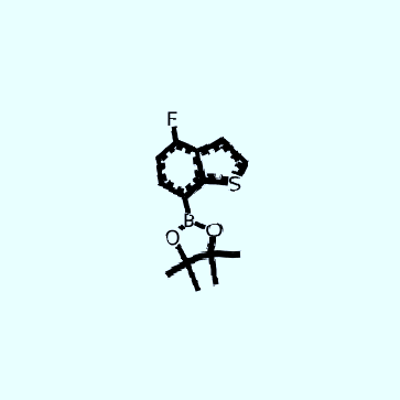 CC1(C)OB(c2ccc(F)c3ccsc23)OC1(C)C